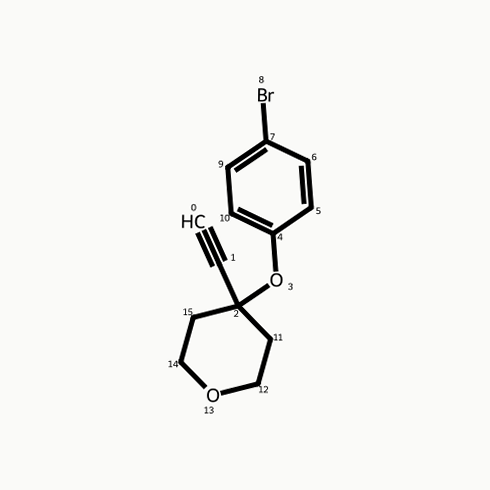 C#CC1(Oc2ccc(Br)cc2)CCOCC1